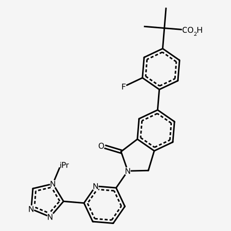 CC(C)n1cnnc1-c1cccc(N2Cc3ccc(-c4ccc(C(C)(C)C(=O)O)cc4F)cc3C2=O)n1